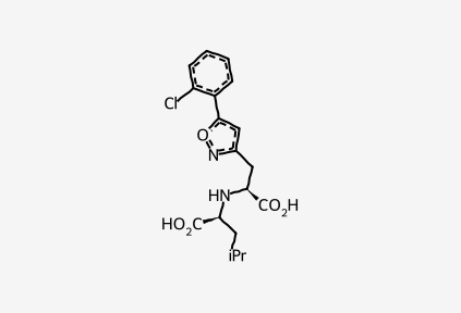 CC(C)C[C@H](N[C@@H](Cc1cc(-c2ccccc2Cl)on1)C(=O)O)C(=O)O